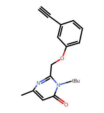 C#Cc1cccc(OCc2nc(C)cc(=O)n2C(C)(C)C)c1